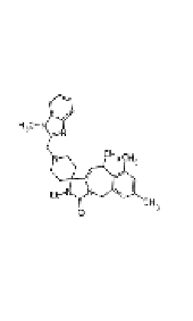 CCN1C(=O)N2Cc3cc(C)cc(C)c3[C@H](C)C=C2C12CCN(Cc1nc3ccccc3n1C)CC2